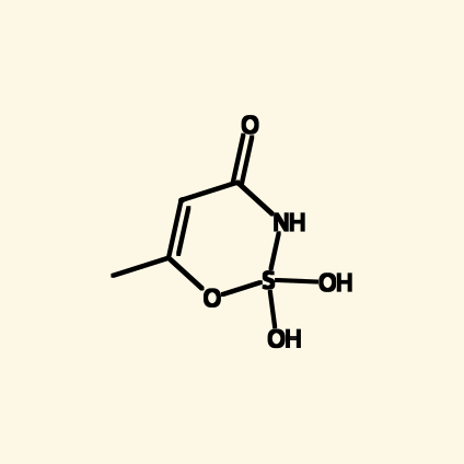 CC1=CC(=O)NS(O)(O)O1